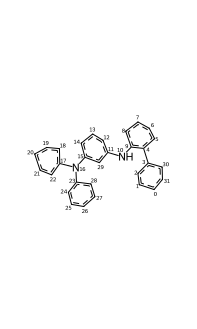 c1ccc(-c2ccccc2Nc2cccc(N(c3ccccc3)c3ccccc3)c2)cc1